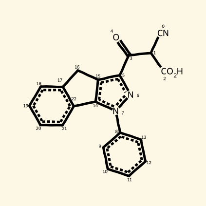 N#CC(C(=O)O)C(=O)c1nn(-c2ccccc2)c2c1Cc1ccccc1-2